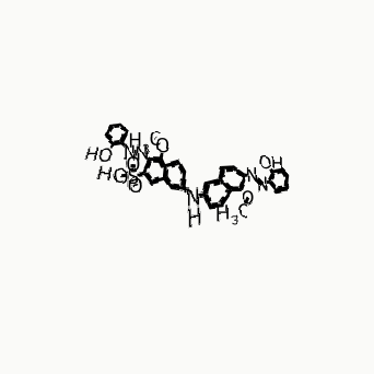 COc1c(N=Nc2ccccc2O)ccc2cc(Nc3ccc4c(OC)c(N=Nc5ccccc5O)c(S(=O)(=O)O)cc4c3)ccc12